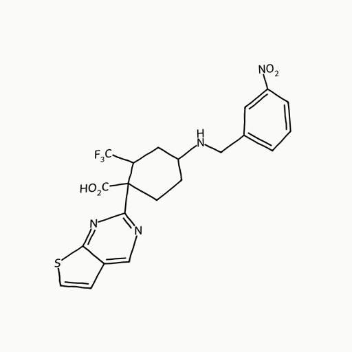 O=C(O)C1(c2ncc3ccsc3n2)CCC(NCc2cccc([N+](=O)[O-])c2)CC1C(F)(F)F